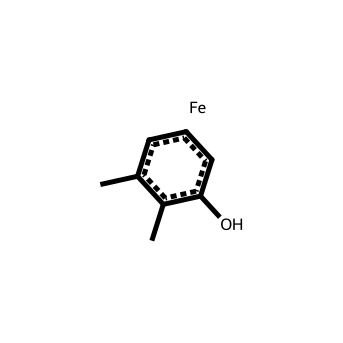 Cc1cccc(O)c1C.[Fe]